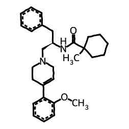 COc1ccccc1C1=CCN(C[C@@H](Cc2ccccc2)NC(=O)C2(C)CCCCC2)CC1